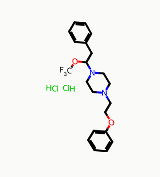 Cl.Cl.FC(F)(F)OC(Cc1ccccc1)N1CCN(CCOc2ccccc2)CC1